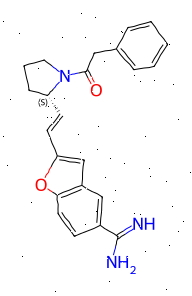 N=C(N)c1ccc2oc(C=C[C@@H]3CCCN3C(=O)Cc3ccccc3)cc2c1